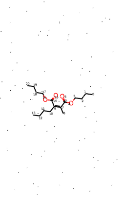 CCCCOC(=O)/C(C)=C(/CCCC)C(=O)OCCCC